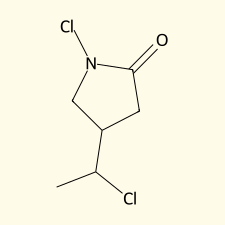 CC(Cl)C1CC(=O)N(Cl)C1